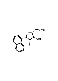 COC[C@H]1O[C@@H](c2cccc3ccccc23)[C@H](F)[C@@H]1O